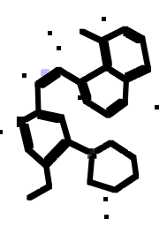 CCc1cnc(/C=C\c2cccc3cccc(C)c23)cc1N1CCCCC1